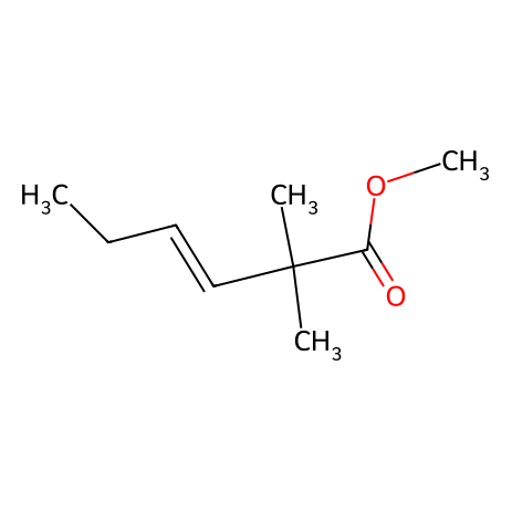 CC/C=C/C(C)(C)C(=O)OC